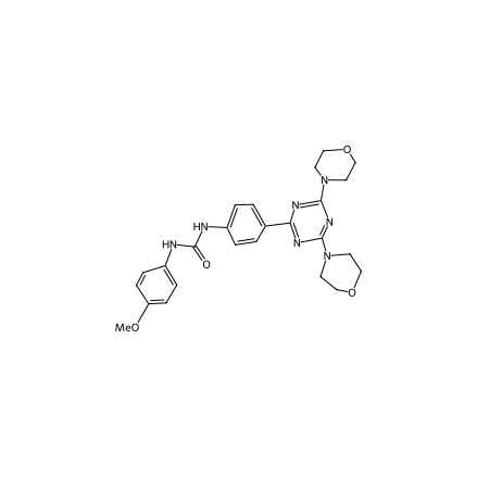 COc1ccc(NC(=O)Nc2ccc(-c3nc(N4CCOCC4)nc(N4CCOCC4)n3)cc2)cc1